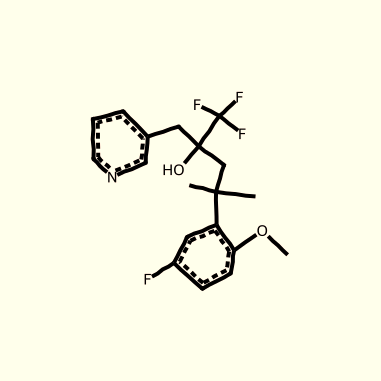 COc1ccc(F)cc1C(C)(C)CC(O)(Cc1cccnc1)C(F)(F)F